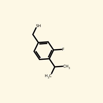 CC(C)c1ccc(CS)cc1F